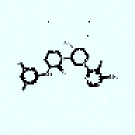 Nc1ncnc(N2CC[C@@H](C(F)(F)F)[C@H](N3CCC[C@H](Nc4cc(Cl)cc(Cl)c4)C3=O)C2)c1F